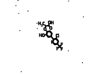 CC(Oc1ccc(-c2ncc(C(F)(F)F)cc2Cl)cc1O)C(=O)O